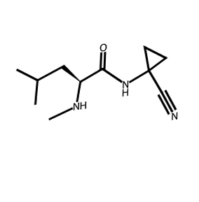 CN[C@@H](CC(C)C)C(=O)NC1(C#N)CC1